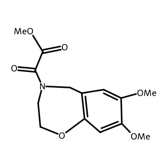 COC(=O)C(=O)N1CCOc2cc(OC)c(OC)cc2C1